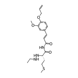 C=CCOc1ccc(/C=C/C(=O)NC(=O)[C@H](CCSC)NNCC)cc1OC